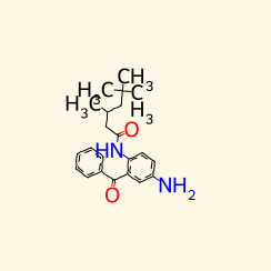 CC(CC(=O)Nc1ccc(N)cc1C(=O)c1ccccc1)CC(C)(C)C